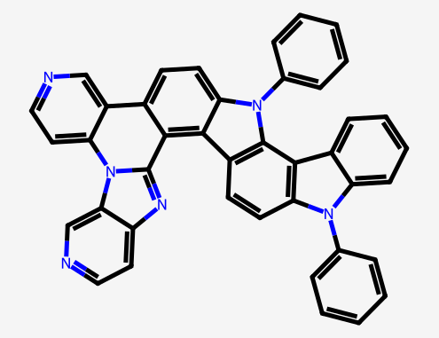 c1ccc(-n2c3ccccc3c3c2ccc2c4c5c(ccc4n(-c4ccccc4)c23)c2cnccc2n2c3cnccc3nc52)cc1